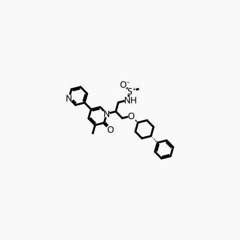 Cc1cc(-c2cccnc2)cn(C(CN[S+](C)[O-])CO[C@H]2CC[C@@H](c3ccccc3)CC2)c1=O